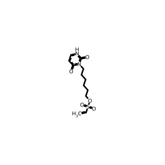 C=CS(=O)(=O)OCCCCCCn1c(=O)cc[nH]c1=O